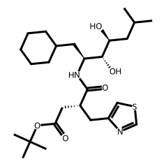 CC(C)C[C@H](O)[C@H](O)[C@H](CC1CCCCC1)NC(=O)[C@@H](CC(=O)OC(C)(C)C)Cc1cscn1